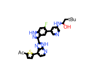 CC(=O)c1ccc(-c2ccnc3[nH]c(-c4n[nH]c5cc(F)c(-c6cncc(NC(O)CC(C)(C)C)c6)cc45)nc23)s1